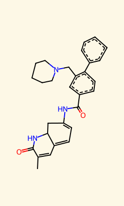 CC1=CC2=CC=C(NC(=O)c3ccc(-c4ccccc4)c(CN4CCCCC4)c3)CC2NC1=O